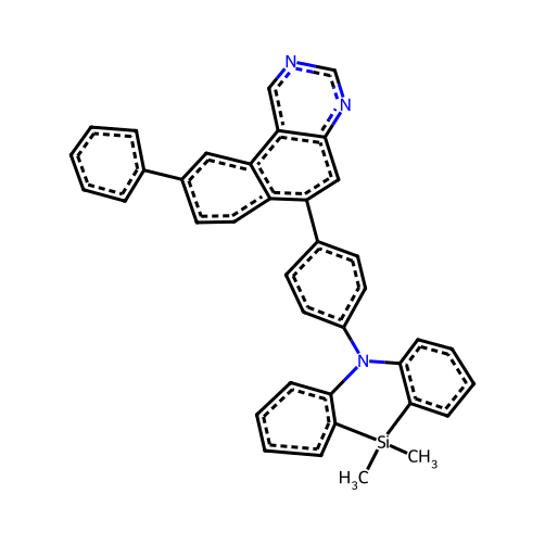 C[Si]1(C)c2ccccc2N(c2ccc(-c3cc4ncncc4c4cc(-c5ccccc5)ccc34)cc2)c2ccccc21